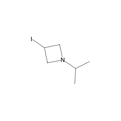 CC(C)N1CC(I)C1